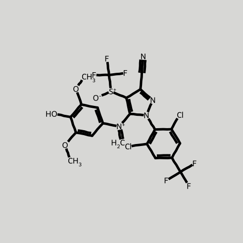 C=[N+](c1cc(OC)c(O)c(OC)c1)c1c([S+]([O-])C(F)(F)F)c(C#N)nn1-c1c(Cl)cc(C(F)(F)F)cc1Cl